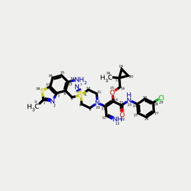 Cc1nc2c(CS3(#N)CCN(/C(C=N)=C(\OCC4(C)CC4)C(=O)Nc4cccc(Cl)c4)CC3)c(N)ccc2s1